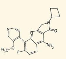 COc1cnccc1-c1c(F)ccc2c(N)c3c(nc12)CN(C1CCC1)C3=O